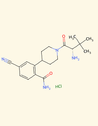 CC(C)(C)[C@H](N)C(=O)N1CCC(c2cc(C#N)ccc2C(N)=O)CC1.Cl